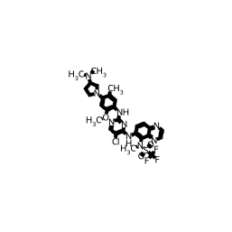 COc1cc(N2CCC(N(C)C)C2)c(C)cc1Nc1ncc(Cl)c(Nc2ccc3nccnc3c2N(C)S(=O)(=O)C(F)(F)F)n1